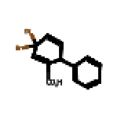 O=C(O)C1=CC(Br)(Br)C=CC1c1ccccc1